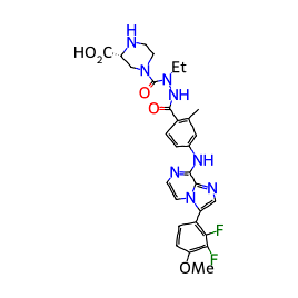 CCN(NC(=O)c1ccc(Nc2nccn3c(-c4ccc(OC)c(F)c4F)cnc23)cc1C)C(=O)N1CCN[C@@H](C(=O)O)C1